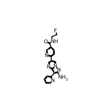 Nc1nn2cc(-c3ccc(C(=O)NCCF)cn3)cnc2c1-c1ccccn1